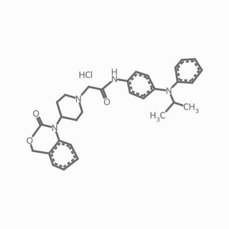 CC(C)N(c1ccccc1)c1ccc(NC(=O)CN2CCC(N3C(=O)OCc4ccccc43)CC2)cc1.Cl